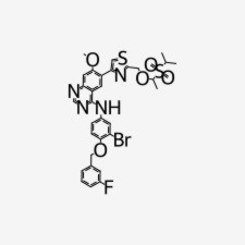 COc1cc2ncnc(Nc3ccc(OCc4cccc(F)c4)c(Br)c3)c2cc1-c1csc(COC(C)S(=O)(=O)C(C)C)n1